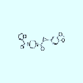 O=C(c1ccco1)N1CCN(C(=O)C2CC2c2ccc3c(c2)OCO3)CC1